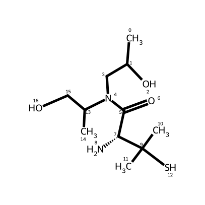 CC(O)CN(C(=O)[C@@H](N)C(C)(C)S)C(C)CO